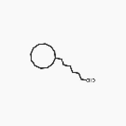 O=CCCCCCCC1CCCCCCCCCCC1